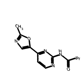 Cc1ncc(-c2ccnc(NC(=O)C(C)C)n2)o1